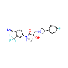 CC(O)(CN1CC(c2ccc(F)cc2)C1)C(=O)Nc1ccc(C#N)c(C(F)(F)F)c1